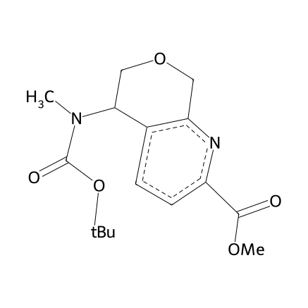 COC(=O)c1ccc2c(n1)COCC2N(C)C(=O)OC(C)(C)C